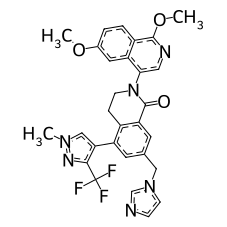 COc1ccc2c(OC)ncc(N3CCc4c(cc(Cn5ccnc5)cc4-c4cn(C)nc4C(F)(F)F)C3=O)c2c1